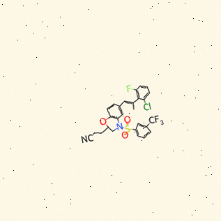 CC(=Cc1ccc2c(c1)N(S(=O)(=O)c1cccc(C(F)(F)F)c1)CC(CCC#N)O2)c1c(F)cccc1Cl